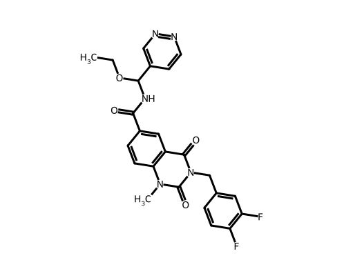 CCOC(NC(=O)c1ccc2c(c1)c(=O)n(Cc1ccc(F)c(F)c1)c(=O)n2C)c1ccnnc1